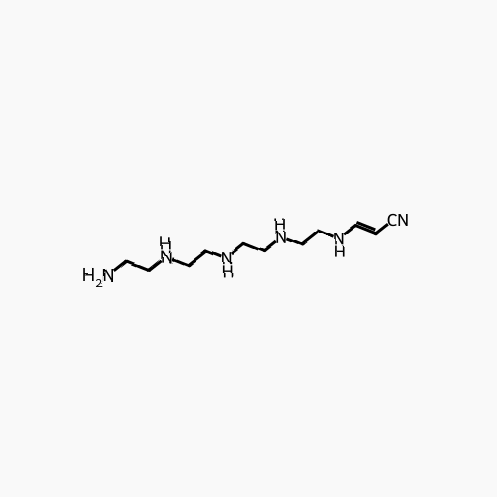 N#CC=CNCCNCCNCCNCCN